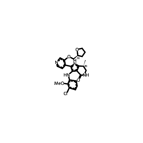 COc1c(Cl)cccc1Nc1c(-c2ccncc2OC[C@@H]2CCCO2)[nH]c2c1C(=O)NC[C@H]2C